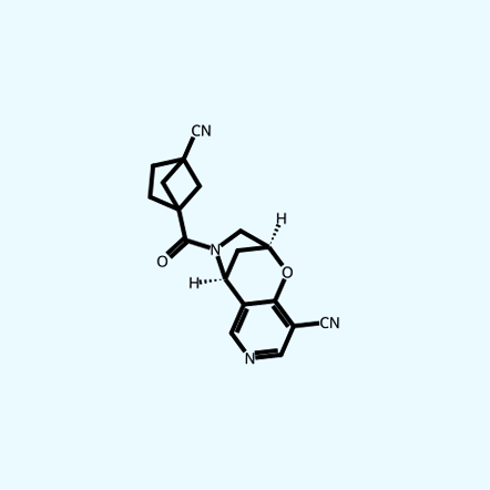 N#Cc1cncc2c1O[C@H]1C[C@@H]2N(C(=O)C23CCC(C#N)(C2)C3)C1